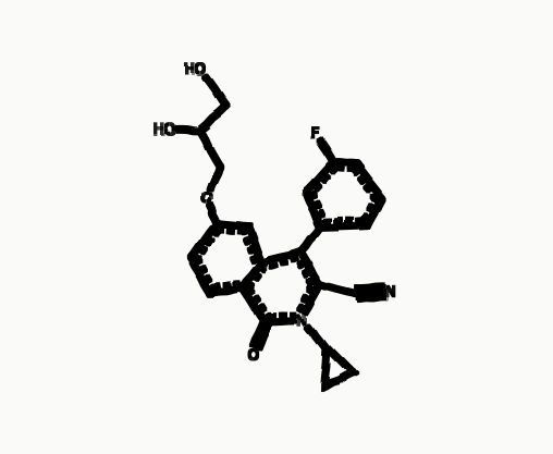 N#Cc1c(-c2cccc(F)c2)c2cc(OCC(O)CO)ccc2c(=O)n1C1CC1